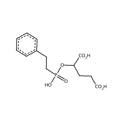 O=C(O)CCC(OP(=O)(O)CCc1ccccc1)C(=O)O